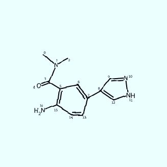 CN(C)C(=O)c1cc(-c2cn[nH]c2)ccc1N